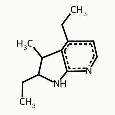 CCc1ccnc2c1C(C)C(CC)N2